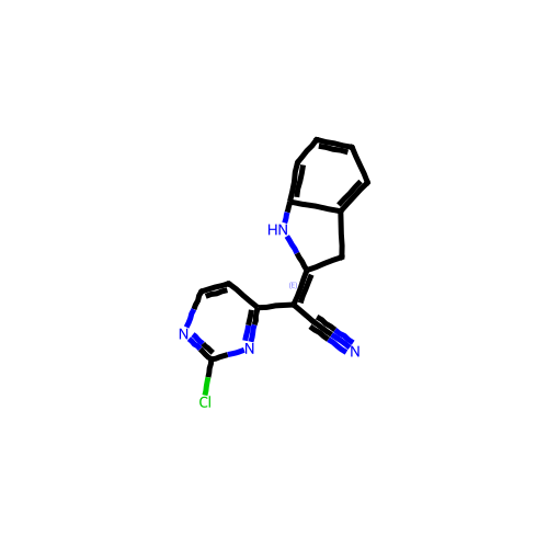 N#C/C(=C1\Cc2ccccc2N1)c1ccnc(Cl)n1